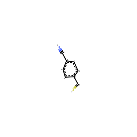 N#Cc1ccc([C]=S)cc1